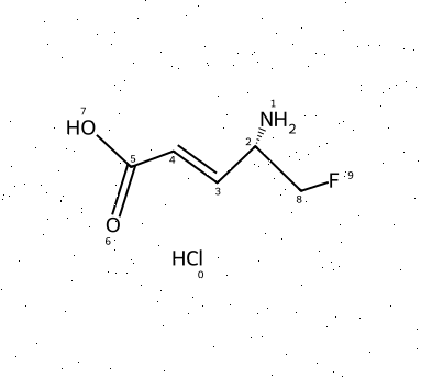 Cl.N[C@@H](/C=C/C(=O)O)CF